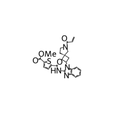 C=CC(=O)N1CC[C@]2(C1)C[C@H](n1c(NC(=O)c3ccc(C(=O)OC)s3)nc3ccccc31)C2